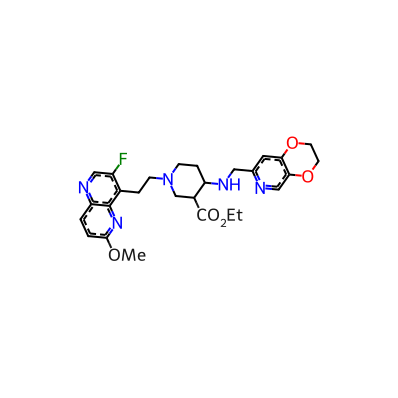 CCOC(=O)C1CN(CCc2c(F)cnc3ccc(OC)nc23)CCC1NCc1cc2c(cn1)OCCO2